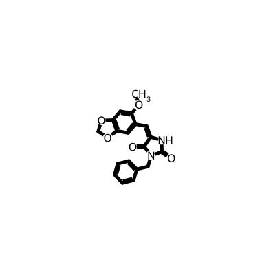 COc1cc2c(cc1C=C1NC(=O)N(Cc3ccccc3)C1=O)OCO2